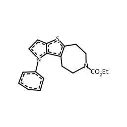 CCOC(=O)N1CCc2sc3ccn(-c4ccccc4)c3c2CC1